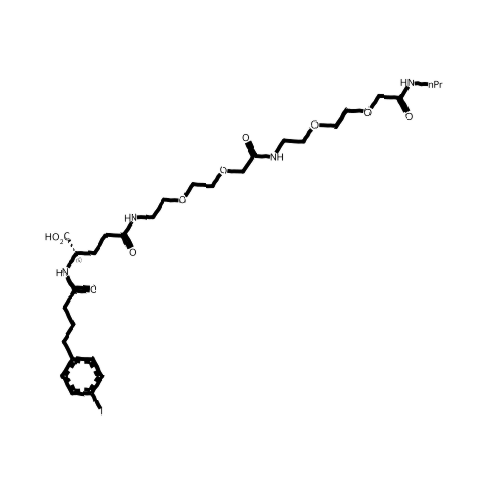 CCCNC(=O)COCCOCCNC(=O)COCCOCCNC(=O)CC[C@H](NC(=O)CCCc1ccc(I)cc1)C(=O)O